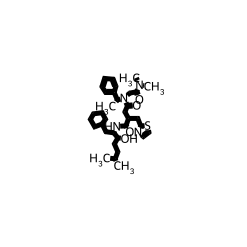 CC(C)CCC(O)C(CC1CCCCC1)NC(=O)C(CC(=O)N(CC(=O)N(C)C)C(C)c1ccccc1)Cc1nccs1